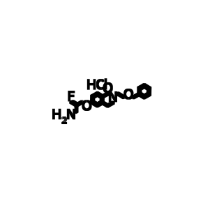 Cl.NC/C(=C/F)COc1ccc2c(c1)CCN(CCOCc1ccccc1)C2=O